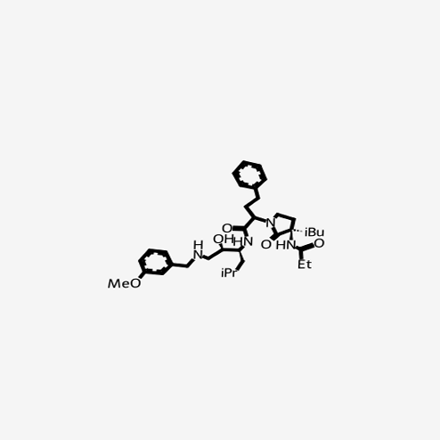 CCC(=O)N[C@]1([C@@H](C)CC)CCN(C(CCc2ccccc2)C(=O)N[C@@H](CC(C)C)[C@H](O)CNCc2cccc(OC)c2)C1=O